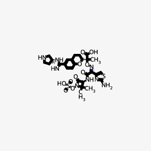 CC(O/N=C(\C(=O)N[C@@H]1C(=O)N(OS(=O)(=O)O)C1(C)C)c1csc(N)n1)(C(=O)O)[C@H]1CCc2cc(C(=N)N[C@@H]3CCNC3)ccc2O1